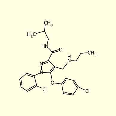 CCCNCc1c(C(=O)NCC(C)C)nn(-c2ccccc2Cl)c1Oc1ccc(Cl)cc1